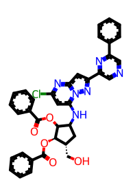 O=C(OC1C(Nc2cc(Cl)nc3cc(-c4cncc(-c5ccccc5)n4)nn23)C[C@H](CO)[C@H]1OC(=O)c1ccccc1)c1ccccc1